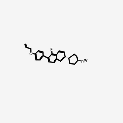 C=CCOc1ccc(-c2ccc3cc([C@H]4CC[C@H](CCC)CC4)ccc3c2F)cc1